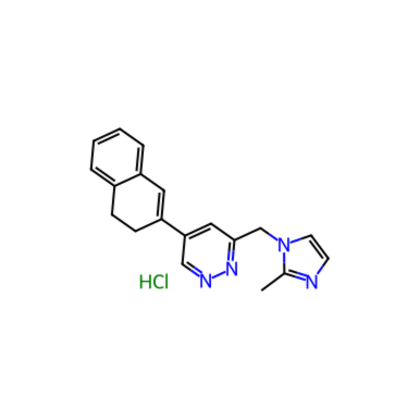 Cc1nccn1Cc1cc(C2=Cc3ccccc3CC2)cnn1.Cl